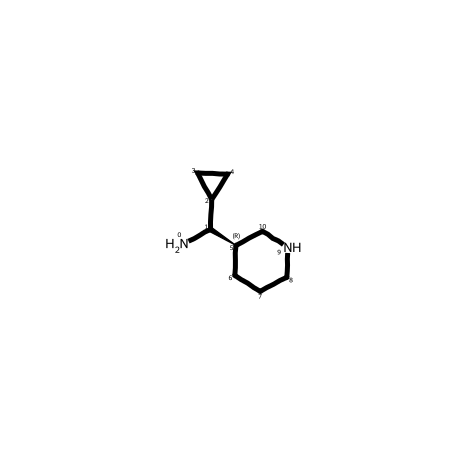 NC(C1CC1)[C@@H]1CCCNC1